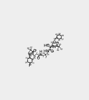 CC(C)(CNC(=O)CC(Cc1cc(F)ccc1F)NC(=O)C(C)(C)C)CNC(=O)[C@@H](O)[C@@H](COCc1ccccc1)NC(=O)C(C)(C)C